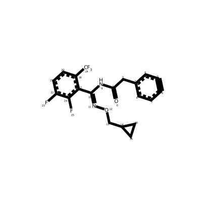 O=C(Cc1cc#ccc1)N/C(=N\OCC1CC1)c1c(C(F)(F)F)ccc(F)c1F